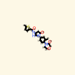 Cc1ccc(C(=O)NC2CC(=O)N(c3ccc(N4CCOCC4=O)c(C)c3)C2)s1